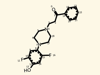 O=C(CCN1CCN(c2cc(F)c(O)cc2F)CC1)c1ccccc1